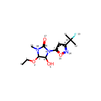 CCOC1C(O)N(c2cc(C(C)(C)F)no2)C(=O)N1C